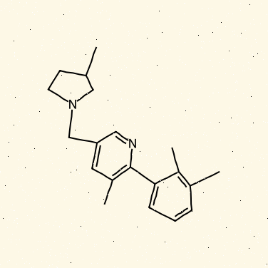 Cc1cc(CN2CCC(C)C2)cnc1-c1cccc(C)c1C